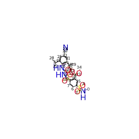 CNS(=O)(=O)c1ccc(S(=O)(=O)NC(=O)Nc2c(C(C)C)cc(C#N)cc2C(C)C)c(C(=O)OC)c1